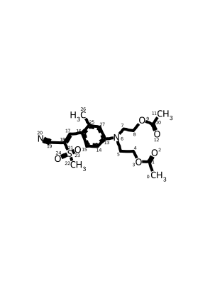 CC(=O)OCCN(CCOC(C)=O)c1ccc(/C=C(/C#N)S(C)(=O)=O)c(C)c1